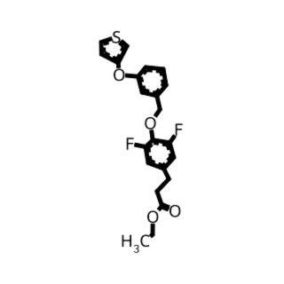 CCOC(=O)CCc1cc(F)c(OCc2cccc(Oc3ccsc3)c2)c(F)c1